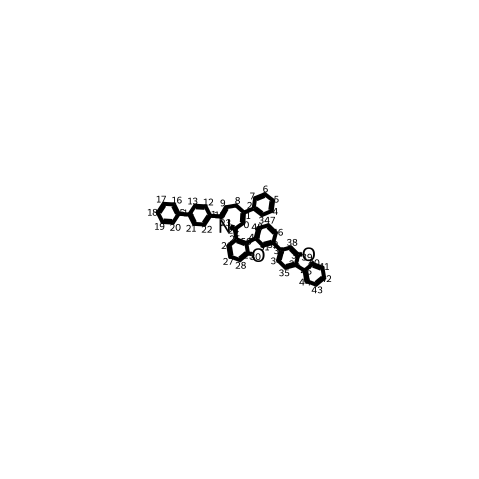 C1=C(c2ccccc2)CC=C(c2ccc(-c3ccccc3)cc2)N=C1c1cccc2oc3c(-c4ccc5c(c4)oc4ccccc45)cccc3c12